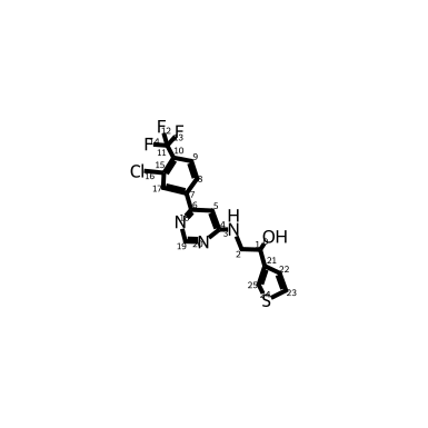 OC(CNc1cc(-c2ccc(C(F)(F)F)c(Cl)c2)ncn1)c1ccsc1